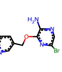 Nc1ncc(Br)nc1OCc1cccnc1